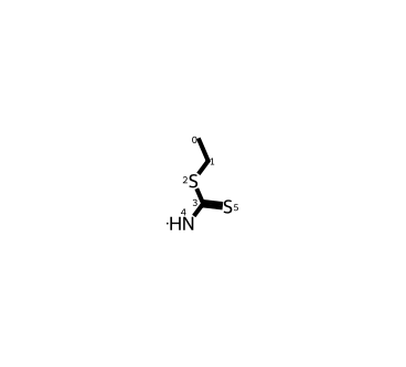 CCSC([NH])=S